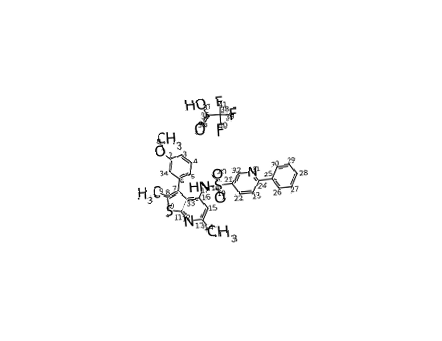 COc1cccc(-c2c(C)sc3nc(C)cc(NS(=O)(=O)c4ccc(-c5ccccc5)nc4)c23)c1.O=C(O)C(F)(F)F